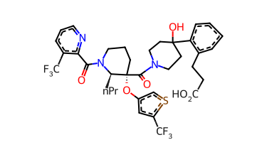 CCC[C@H]1N(C(=O)c2ncccc2C(F)(F)F)CCC[C@@]1(Oc1csc(C(F)(F)F)c1)C(=O)N1CCC(O)(c2ccccc2CCC(=O)O)CC1